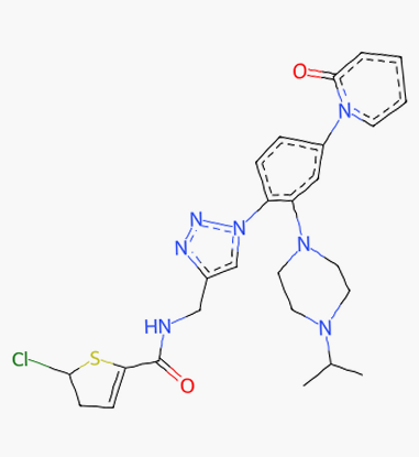 CC(C)N1CCN(c2cc(-n3ccccc3=O)ccc2-n2cc(CNC(=O)C3=CCC(Cl)S3)nn2)CC1